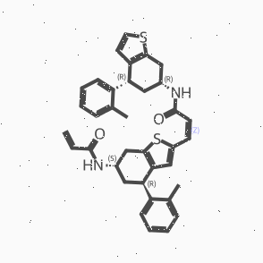 C=CC(=O)N[C@@H]1Cc2sc(/C=C\C(=O)N[C@H]3Cc4sccc4[C@@H](c4ccccc4C)C3)cc2[C@@H](c2ccccc2C)C1